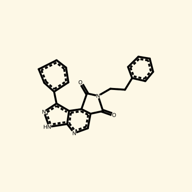 O=C1c2cnc3[nH]nc(-c4ccccc4)c3c2C(=O)N1CCc1ccccc1